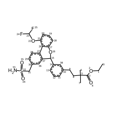 CCOC(=O)C(C)(C)CCc1cccc(C2Oc3cccc(OC(F)F)c3-c3ccc(CS(N)(=O)=O)cc32)c1